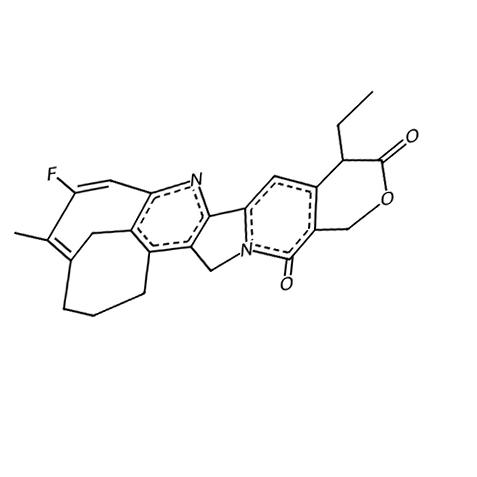 CCC1C(=O)OCc2c1cc1n(c2=O)Cc2c-1nc1c3c2CCCC(=C(C)C(F)=C1)C3